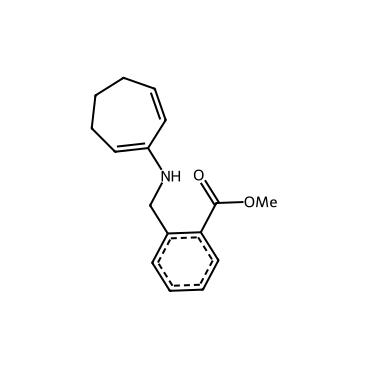 COC(=O)c1ccccc1CNC1=CCCCC=C1